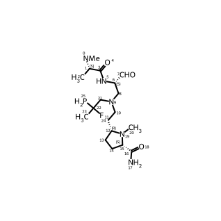 CN[C@@H](C)C(=O)N[C@H](C=O)CN(CC[C@H]1CC[C@@H](C(N)=O)N1C)CC(C)(F)P